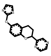 c1cnc(C2CCc3cc(Oc4nccs4)ccc3O2)cn1